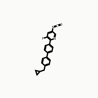 Fc1cc(N=C=S)cnc1-c1ccc(-c2ccc(CC3CC3)cc2)cc1